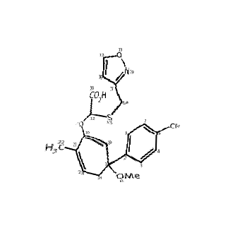 COC1(c2ccc(Cl)cc2)C=C(OC(SCc2ccon2)C(=O)O)C(C)=CC1